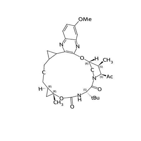 COc1ccc2nc3c(nc2c1)O[C@H]1CN(C(=O)[C@H](C(C)(C)C)NC(=O)O[C@]2(C)C[C@H]2CCCC2CC32)[C@H](C(C)=O)[C@@H]1C